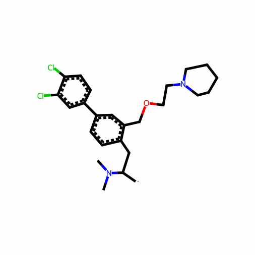 [CH2]C(Cc1ccc(-c2ccc(Cl)c(Cl)c2)cc1COCCN1CCCCC1)N(C)C